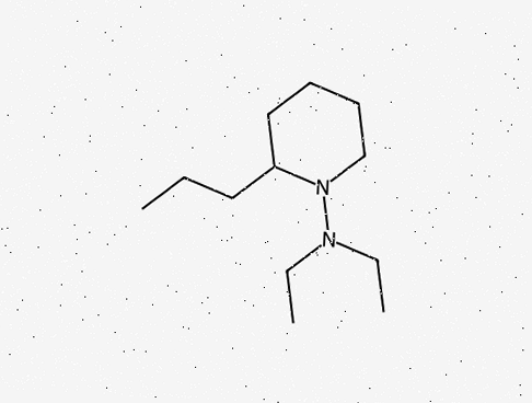 CCCC1CCCCN1N(CC)CC